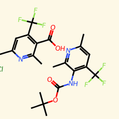 Cc1cc(C(F)(F)F)c(C(=O)O)c(C)n1.Cc1cc(C(F)(F)F)c(NC(=O)OC(C)(C)C)c(C)n1.Cl